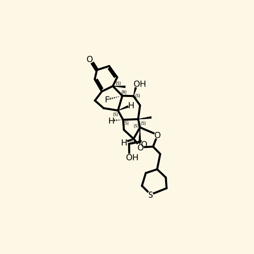 C[C@]12C=CC(=O)C=C1CC[C@H]1[C@@H]3C[C@H]4OC(CC5CCSCC5)O[C@@]4(C(=O)CO)[C@@]3(C)C[C@H](O)[C@@]12F